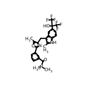 Cc1[nH]c2ccc(C(O)(C(F)(F)F)C(F)(F)F)cc2c1Cc1nc(-c2cccc(C(=O)N(C)C)c2)oc1C